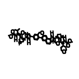 COC(=O)N[C@H](C(=O)N1C[C@@H](C)C[C@H]1c1ncc(-c2ccc3c(c2)COc2cc4c(ccc5nc([C@@H]6CC[C@H](C)N6C(=O)[C@@H](NC(=O)OC)C6CCOCC6)[nH]c54)cc2-3)[nH]1)C(C)C